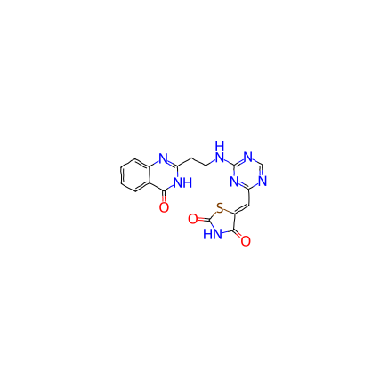 O=C1NC(=O)C(=Cc2ncnc(NCCc3nc4ccccc4c(=O)[nH]3)n2)S1